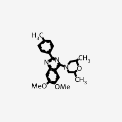 COc1cc2nc(-c3ccc(C)cc3)nc(N3CC(C)OC(C)C3)c2cc1OC